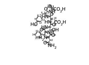 CC[C@H](C)[C@H](NC(=O)[C@H](Cc1ccc(O)cc1)NC(=O)[C@H](CC(=O)O)NC(=O)[C@H](CO)NC(=O)[C@H](Cc1ccccc1)NC(=O)[C@@H](N)CC(N)=O)C(=O)O